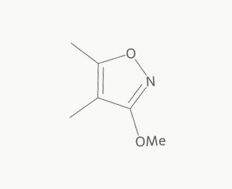 COc1noc(C)c1C